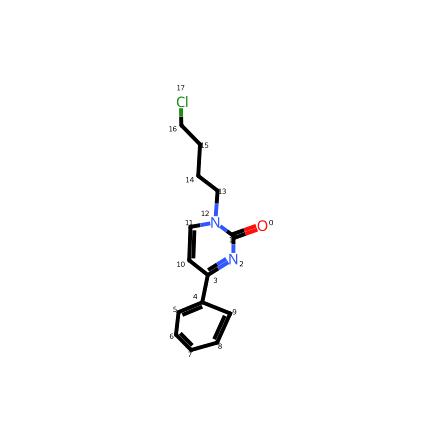 O=c1nc(-c2ccccc2)ccn1CCCCCl